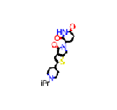 CC(C)N1CCC(c2cc3c(s2)CN(C2CCC(=O)NC2=O)C3=O)CC1